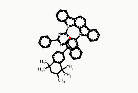 CC1CC(C)(C)c2ccc(-c3ccc(-n4c5ccccc5c5ccc6c7ccccc7n(-c7nc(-c8ccccc8)nc(-c8ccccc8)n7)c6c54)cc3)cc2C1(C)C